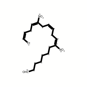 CC/C=C\C/C=C(\C/C=C\C/C=C(\CCCCCC[C]=O)[N+](=O)[O-])[N+](=O)[O-]